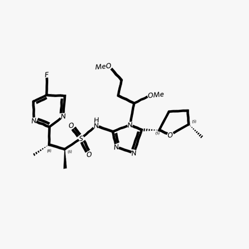 COCCC(OC)n1c(NS(=O)(=O)[C@@H](C)[C@H](C)c2ncc(F)cn2)nnc1[C@@H]1CC[C@H](C)O1